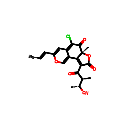 CC[C@H](C)/C=C/C1=CC2=C(Cl)C(=O)[C@@]3(C)OC(=O)C(C(=O)[C@@H](C)[C@@H](C)O)=C3C2=CO1